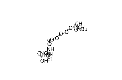 CCc1cnn2c(NCc3ccc(OCCOCCOCCOCCOCCN(C)C(=O)OC(C)(C)C)nc3)cc(N3CCCC[C@H]3CCO)nc12